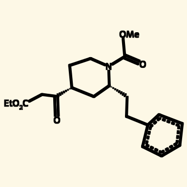 CCOC(=O)CC(=O)[C@@H]1CCN(C(=O)OC)[C@H](CCc2ccccc2)C1